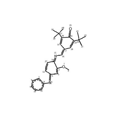 COC1=CC(=Nc2ccccc2)C=CC1=NC=C1C=C(C(C)(C)C)C(=O)C(C(C)(C)C)=C1